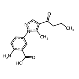 CCCC(=O)c1cnn(-c2ccc(N)c(C(=O)O)c2)c1C